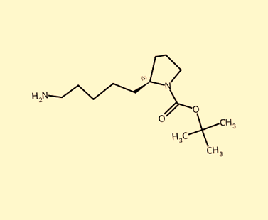 CC(C)(C)OC(=O)N1CCC[C@@H]1CCCCCN